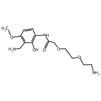 COc1ccc(NC(=O)COCCOCCN)c(O)c1CN